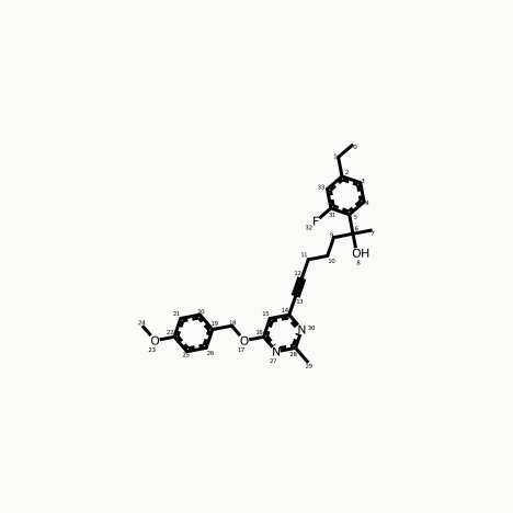 CCc1ccc(C(C)(O)CCCC#Cc2cc(OCc3ccc(OC)cc3)nc(C)n2)c(F)c1